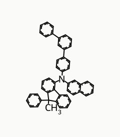 CC1(c2ccccc2)c2ccccc2-c2c(N(c3ccc(-c4cccc(-c5ccccc5)c4)cc3)c3ccc4ccccc4c3)cccc21